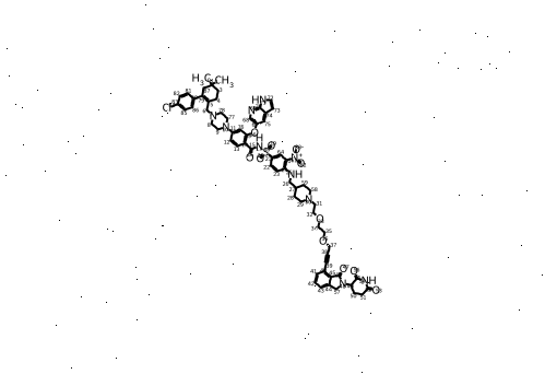 CC1(C)CCC(CN2CCN(c3ccc(C(=O)NS(=O)(=O)c4ccc(NCC5CCN(CCOCCOCC#Cc6cccc7c6C(=O)N(C6CCC(=O)NC6=O)C7)CC5)c([N+](=O)[O-])c4)c(Oc4cnc5[nH]ccc5c4)c3)CC2)=C(c2ccc(Cl)cc2)C1